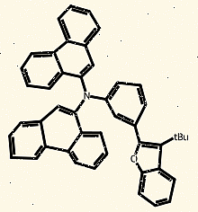 CC(C)(C)c1c(-c2cccc(N(c3cc4ccccc4c4ccccc34)c3cc4ccccc4c4ccccc34)c2)oc2ccccc12